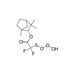 CC12CCC(C1)C(C)(C)C2OC(=O)C(F)(F)SOOO